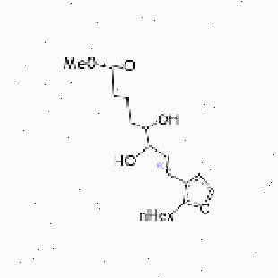 CCCCCCc1occc1/C=C/C(O)C(O)CCCC(=O)OC